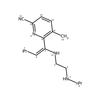 CCCNCCN/C(=C/C(C)C)c1nc(C#N)ccc1C